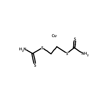 NC(=S)SCCSC(N)=S.[Cu]